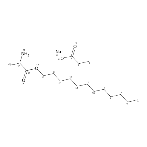 CCC(=O)[O-].CCCCCCCCCCCCOC(=O)C(C)N.[Na+]